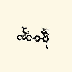 CCOc1cc(-c2ccc(N3CCC(CN4CCCC4)(NC(=O)CC(C)C)CC3)nc2)c2c3cn[nH]c3nn2c1